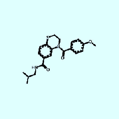 COc1ccc(C(=O)N2CCSc3ccc(C(=O)NCC(C)C)cc32)cc1